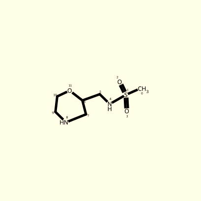 CS(=O)(=O)NCC1CNCCO1